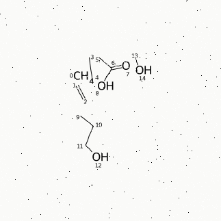 C.C=C.CC.CC(=O)O.CCCO.CO